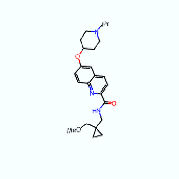 COCC1(CNC(=O)c2ccc3cc(OC4CCN(C(C)C)CC4)ccc3n2)CC1